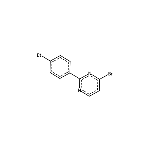 CCc1ccc(-c2nccc(Br)n2)cc1